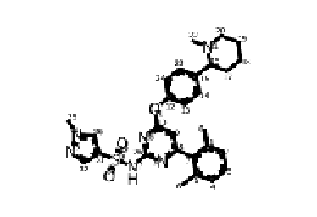 Cc1cccc(C)c1-c1cc(Oc2ccc(C3CCCCN3C)cc2)nc(NS(=O)(=O)c2cnn(C)c2)n1